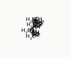 CC(C)C[C@H](CCNOC(C)c1ccccc1)CN[C@@H](C)c1ccc2ccccc2c1C(=O)NC(C)C(N)=O